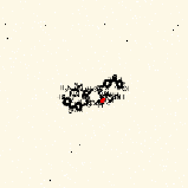 Nc1ncnc2c1ncn2[C@@H]1O[C@@H]2COP(=O)(SCc3ccc(C(=O)c4ccc(O)cc4)cc3)O[C@@H]3[C@H](F)[C@@H](COP(=O)(SCc4ccc(C(=O)c5ccc(O)cc5)cc4)O[C@H]2[C@H]1F)O[C@H]3N1C=CC(O)NC1=O